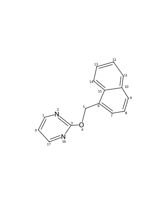 c1cnc(OCc2cccc3ccccc23)nc1